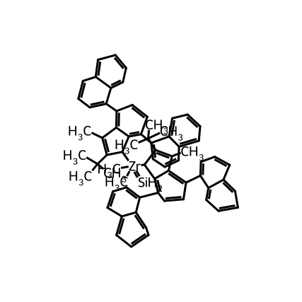 CC1=C(C(C)(C)C)[CH]([Zr]([CH3])([CH3])(=[SiH2])[CH]2C(C(C)(C)C)=C(C)c3c(-c4cccc5ccccc45)ccc(-c4cccc5ccccc45)c32)c2c(-c3cccc4ccccc34)ccc(-c3cccc4ccccc34)c21